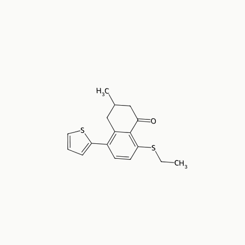 CCSc1ccc(-c2cccs2)c2c1C(=O)CC(C)C2